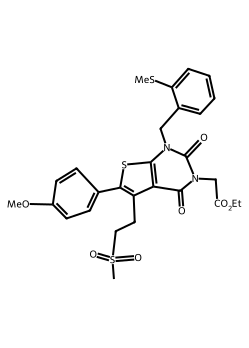 CCOC(=O)Cn1c(=O)c2c(CCS(C)(=O)=O)c(-c3ccc(OC)cc3)sc2n(Cc2ccccc2SC)c1=O